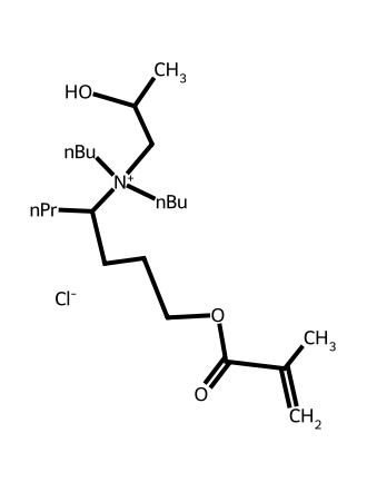 C=C(C)C(=O)OCCCC(CCC)[N+](CCCC)(CCCC)CC(C)O.[Cl-]